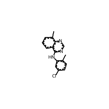 Cc1ccc(Cl)cc1Nc1ncnc2c(C)cccc12